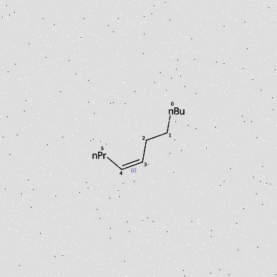 [CH2]CCCCC/C=C\CCC